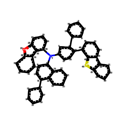 c1ccc(-c2cc(N(c3ccc(-c4ccccc4)c4ccccc34)c3cccc4oc5ccccc5c34)ccc2-c2cccc3c2sc2ccccc23)cc1